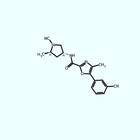 Cc1nc(C(=O)N[C@@H]2C[C@@H](C)N(C#N)C2)oc1-c1cccc(C#N)c1